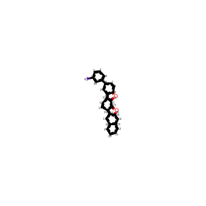 Ic1cccc(-c2ccc3oc4c(ccc5c6cc7ccccc7cc6oc54)c3c2)c1